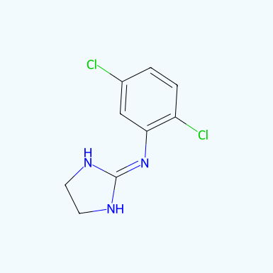 Clc1ccc(Cl)c(N=C2NCCN2)c1